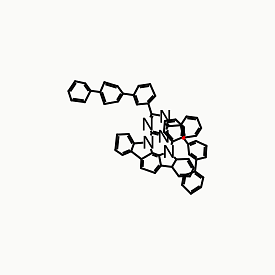 C1=CC2c3ccc4c5ccccc5n(-c5nc(-c6ccccc6)nc(-c6cccc(-c7ccc(-c8ccccc8)cc7)c6)n5)c4c3N(c3ccccc3-c3cccc(-c4ccccc4)c3)C2C=C1